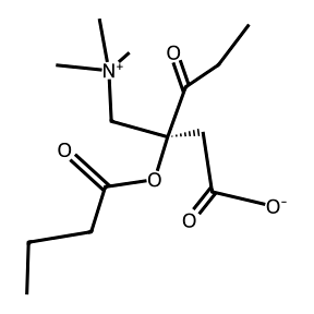 CCCC(=O)O[C@@](CC(=O)[O-])(C[N+](C)(C)C)C(=O)CC